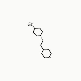 CC[C@H]1CC[C@H](CCC2CC[CH]CC2)CC1